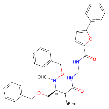 CCCCCC(C(=O)NCNC(=O)c1ccc(-c2ccccc2)o1)[C@@H](COCc1ccccc1)N(C=O)OCc1ccccc1